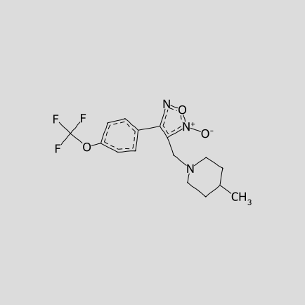 CC1CCN(Cc2c(-c3ccc(OC(F)(F)F)cc3)no[n+]2[O-])CC1